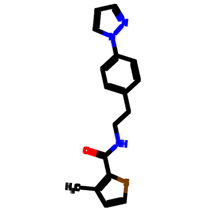 Cc1ccsc1C(=O)NCCc1ccc(-n2cccn2)cc1